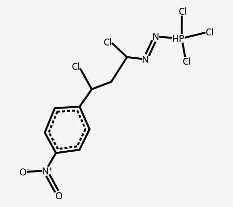 O=[N+]([O-])c1ccc(C(Cl)CC(Cl)N=N[PH](Cl)(Cl)Cl)cc1